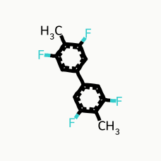 Cc1c(F)cc(-c2cc(F)c(C)c(F)c2)cc1F